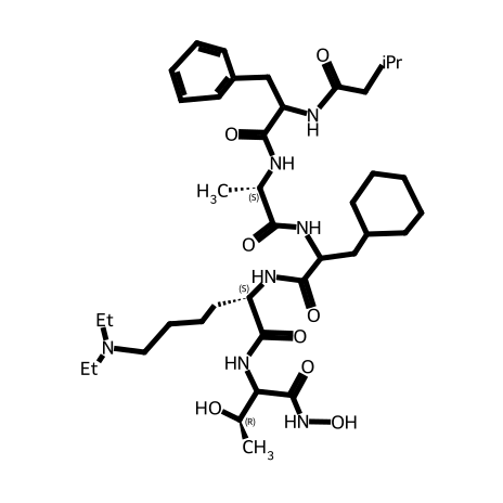 CCN(CC)CCCC[C@H](NC(=O)C(CC1CCCCC1)NC(=O)[C@H](C)NC(=O)C(Cc1ccccc1)NC(=O)CC(C)C)C(=O)NC(C(=O)NO)[C@@H](C)O